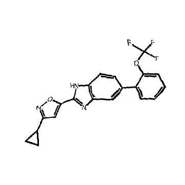 FC(F)(F)Oc1ccccc1-c1ccc2[nH]c(-c3cc(C4CC4)no3)nc2c1